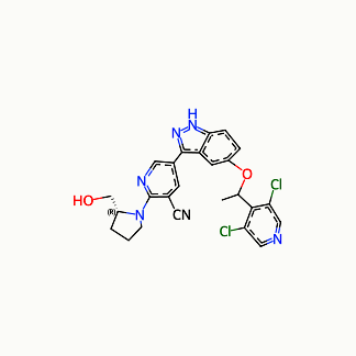 CC(Oc1ccc2[nH]nc(-c3cnc(N4CCC[C@@H]4CO)c(C#N)c3)c2c1)c1c(Cl)cncc1Cl